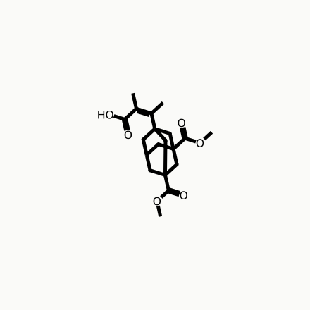 COC(=O)C12CC3CC(C(=O)OC)(C1)CC(C(C)=C(C)C(=O)O)(C3)C2